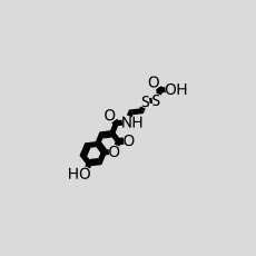 O=C(O)SSCCNC(=O)c1cc2ccc(O)cc2oc1=O